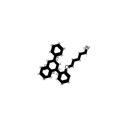 BrCCCCCOc1ccccc1C1CC(c2ccccc2)Cc2ccccc21